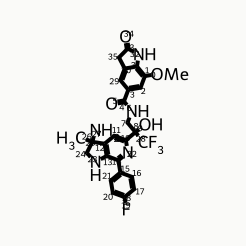 COc1cc(C(=O)NCC(O)(c2cc3c(c(-c4ccc(F)cc4)n2)NCC3(C)N)C(F)(F)F)cc2c1NC(=O)C2